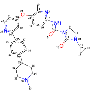 Cc1nc(NC(=O)N2CCN(C3CC3)C2=O)ccc1Oc1ccnc(-c2ccc(C3CCN(C)CC3)cc2)c1